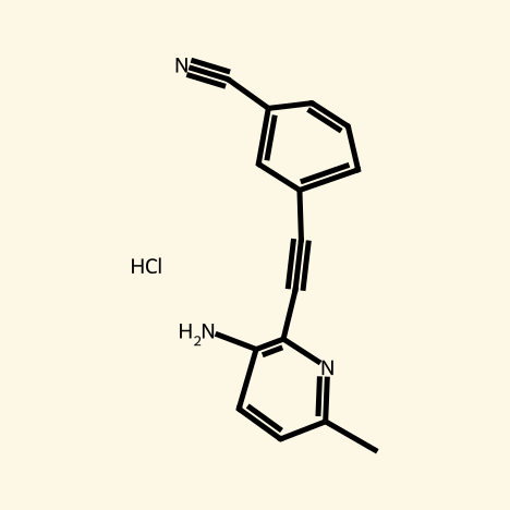 Cc1ccc(N)c(C#Cc2cccc(C#N)c2)n1.Cl